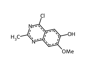 COc1cc2nc(C)nc(Cl)c2cc1O